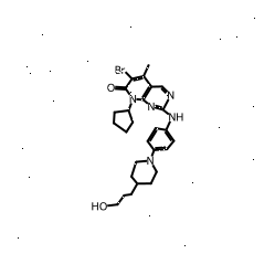 Cc1c(Br)c(=O)n(C2CCCC2)c2nc(Nc3ccc(N4CCC(CCCO)CC4)cc3)ncc12